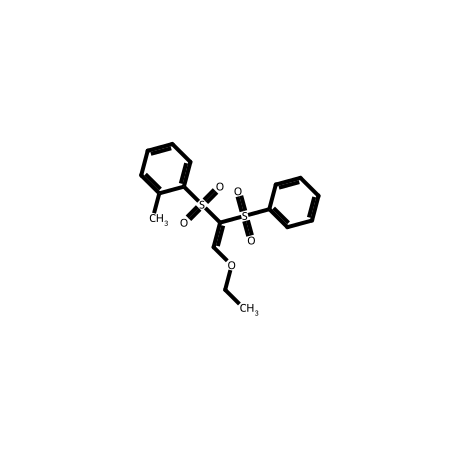 CCO/C=C(\S(=O)(=O)c1ccccc1)S(=O)(=O)c1ccccc1C